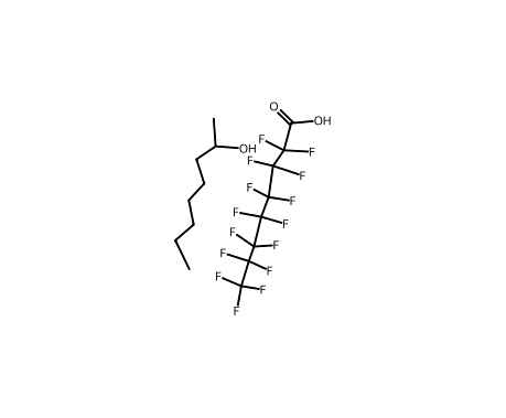 CCCCCCC(C)O.O=C(O)C(F)(F)C(F)(F)C(F)(F)C(F)(F)C(F)(F)C(F)(F)C(F)(F)F